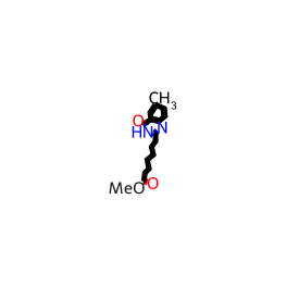 COC(=O)CCCCCCc1nc2ccc(C)cc2c(=O)[nH]1